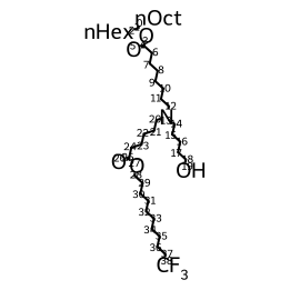 CCCCCCCCC(CCCCCC)OC(=O)CCCCCCCN(CCCCCO)CCCCCC(=O)OCCCCCCCCCCC(F)(F)F